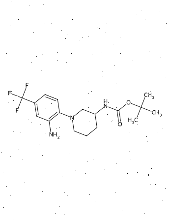 CC(C)(C)OC(=O)NC1CCCN(c2ccc(C(F)(F)F)cc2N)C1